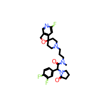 CN(CCCN1CCC2(CC1)OCc1cnc(F)cc12)C(=O)C(c1ccc(F)c(F)c1)N1CCCC1=O